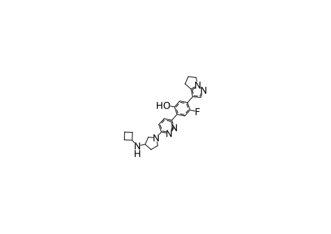 Oc1cc(-c2cnn3c2CCC3)c(F)cc1-c1ccc(N2CCC(NC3CCC3)C2)nn1